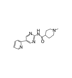 CN1CCC(C(=O)Nc2ncc(-c3ccccn3)cn2)CC1